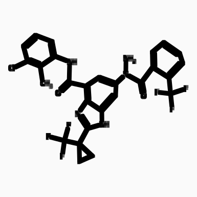 Cc1c(Cl)cccc1NC(=O)c1cc(N(N)C(=O)c2ccccc2C(F)(F)F)cc2[nH]c(C3(C(F)(F)F)CC3)nc12